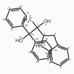 CC(O)(C1Cc2ccccc2N1)C(O)(c1ccccc1)c1ccccc1